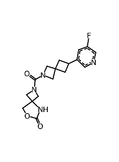 O=C1NC2(CO1)CN(C(=O)N1CC3(CC(c4cncc(F)c4)C3)C1)C2